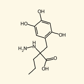 CCCC(Cc1cc(O)c(O)cc1O)(NN)C(=O)O